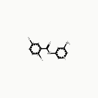 Bc1cncc(NC(=O)c2cc(F)ccc2F)c1